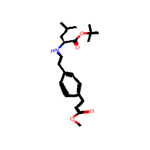 COC(=O)/C=C/c1ccc(CCN[C@@H](CC(C)C)C(=O)OC(C)(C)C)cc1